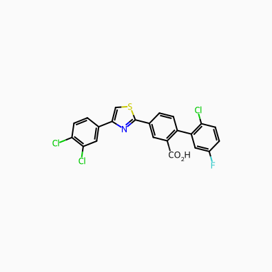 O=C(O)c1cc(-c2nc(-c3ccc(Cl)c(Cl)c3)cs2)ccc1-c1cc(F)ccc1Cl